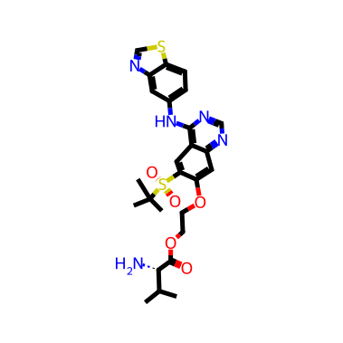 CC(C)[C@H](N)C(=O)OCCOc1cc2ncnc(Nc3ccc4scnc4c3)c2cc1S(=O)(=O)C(C)(C)C